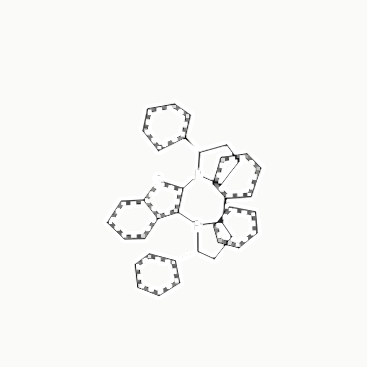 c1ccc([C@H]2CC[C@H](c3ccccc3)P2c2sc3ccccc3c2P2[C@@H](c3ccccc3)CC[C@@H]2c2ccccc2)cc1